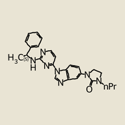 CCCN1CCN(c2ccc3c(c2)ncn3-c2ccnc(N[C@@H](C)c3ccccc3)n2)C1=O